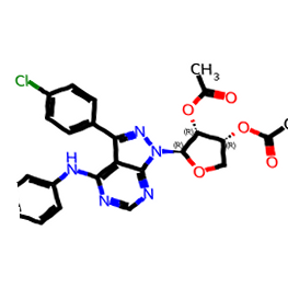 CC(=O)O[C@H]1[C@H](n2nc(-c3ccc(Cl)cc3)c3c(Nc4ccccc4)ncnc32)OC[C@H]1OC(C)=O